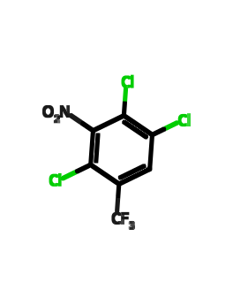 O=[N+]([O-])c1c(Cl)c(Cl)cc(C(F)(F)F)c1Cl